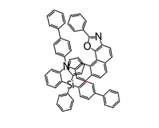 c1ccc(-c2ccc(N(c3ccc4ccc5ccc6nc(-c7ccccc7)oc6c5c4c3)c3ccccc3[Si](c3ccccc3)(c3ccccc3)c3ccc(-c4ccccc4)cc3)cc2)cc1